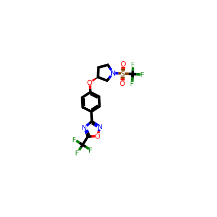 O=S(=O)(N1CC[C@H](Oc2ccc(-c3noc(C(F)(F)F)n3)cc2)C1)C(F)(F)F